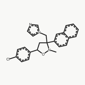 CN1OC(c2ccc(Cl)cc2)CC1(Cn1ccnc1)c1ccc2ccccc2c1